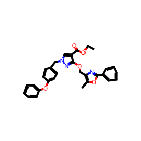 CCOC(=O)c1cn(Cc2ccc(Oc3ccccc3)cc2)nc1OCc1nc(-c2ccccc2)oc1C